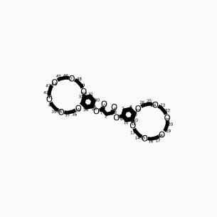 O=C(CC(=O)Oc1ccc2c(c1)OCCOCCOCCOCCOCCO2)Oc1ccc2c(c1)OCCOCCOCCOCCOCCO2